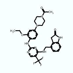 CCOc1cc(N2CCN(C(C)=O)CC2)ccc1Nc1ncc(C(F)(F)F)c(NCc2cccc3c2CC(=O)N3)n1